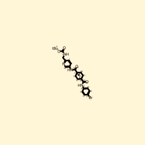 CC(C)(C)OC(=O)NCc1ccc(NC(=O)C23CCC(C(=O)Nc4ccc(Br)cc4)(CC2)CC3)cn1